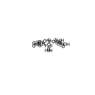 COC(=O)N[C@H](C(=O)N1CCC[C@H]1c1nc2cc([C@H]3CC[C@H](c4ccc5[nH]c([C@@H]6CCCN6C(=O)[C@@H](NC(=O)O)C(C)C)nc5c4)N3c3cc(F)c(N4C[C@H]5CC[C@H]5C4)c(F)c3)ccc2[nH]1)C(C)C